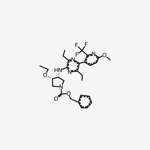 CCO[C@H]1CN(C(=O)OCc2ccccc2)C[C@H]1Nc1nc(CC)c(-c2ccc(OC)nc2C(F)(F)F)nc1CC